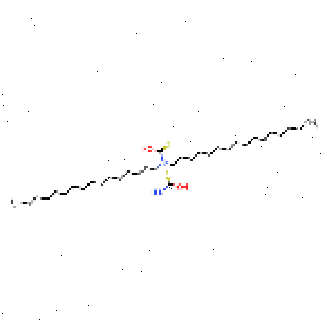 CCCCCCCCCCCCCCCCN(CCCCCCCCCCCCCCCC)C(O)=S.NC(O)=S